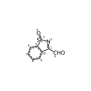 O=CC1=N[Se](=O)c2ccccc21